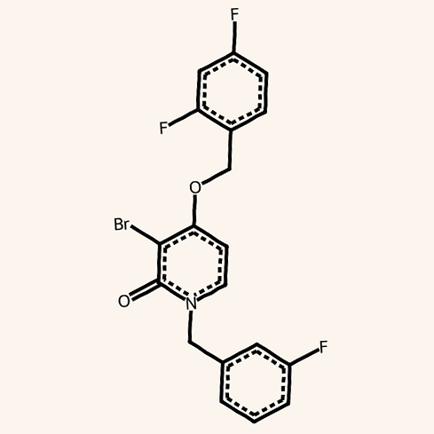 O=c1c(Br)c(OCc2ccc(F)cc2F)ccn1Cc1cccc(F)c1